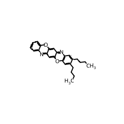 CCCCc1[c]c2c(cc1CCCC)Oc1cc3c(cc1=N2)Oc1ccccc1N=3